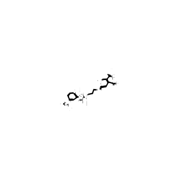 O=[N+]([O-])c1ccc(Cl)c(S(=O)(=O)NCCCOc2cc(C(F)(F)F)c(C(F)(F)F)cn2)c1